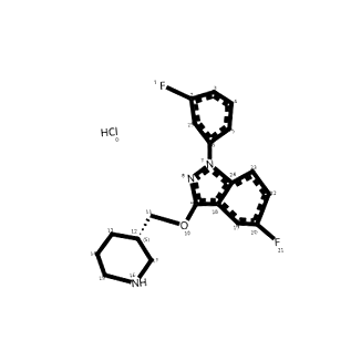 Cl.Fc1cccc(-n2nc(OC[C@H]3CCCNC3)c3cc(F)ccc32)c1